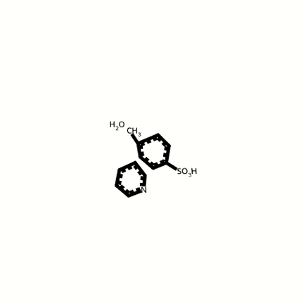 Cc1ccc(S(=O)(=O)O)cc1.O.c1ccncc1